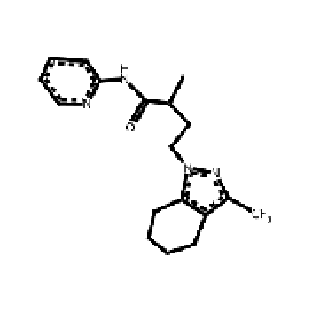 CC(CCn1nc(C(F)(F)F)c2c1CCCC2)C(=O)Nc1ccccn1